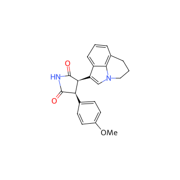 COc1ccc([C@H]2C(=O)NC(=O)[C@H]2c2cn3c4c(cccc24)CCC3)cc1